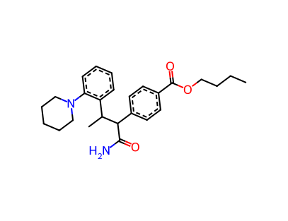 CCCCOC(=O)c1ccc(C(C(N)=O)C(C)c2ccccc2N2CCCCC2)cc1